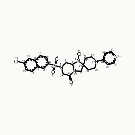 CN1C2CN(S(=O)(=O)c3ccc4cc(Cl)ccc4c3)CC(=O)N2CC12CCN(c1ccncc1)CC2